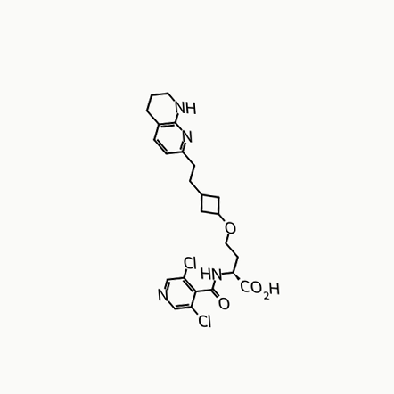 O=C(N[C@@H](CCOC1CC(CCc2ccc3c(n2)NCCC3)C1)C(=O)O)c1c(Cl)cncc1Cl